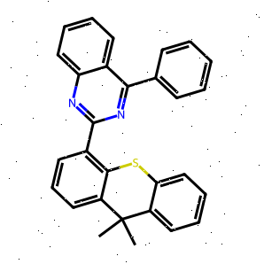 CC1(C)c2ccccc2Sc2c(-c3nc(-c4ccccc4)c4ccccc4n3)cccc21